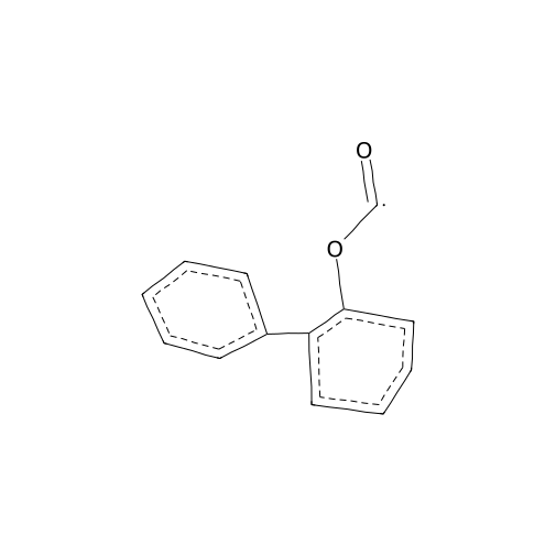 O=[C]Oc1ccccc1-c1ccccc1